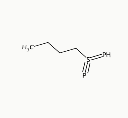 CCCCS(#P)=P